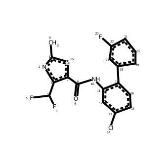 Cc1nc(C(F)F)c(C(=O)Nc2cc(Cl)ccc2-c2cccc(F)c2)s1